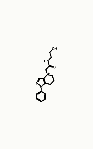 O=C(C[C@H]1CCCc2c1cnn2-c1ccccc1)NCCO